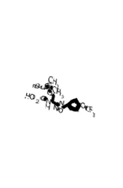 CC(C)(C)[Si](C)(C)OCC(NC(=O)O)c1noc(-c2ccc(OC(F)(F)F)cc2)n1